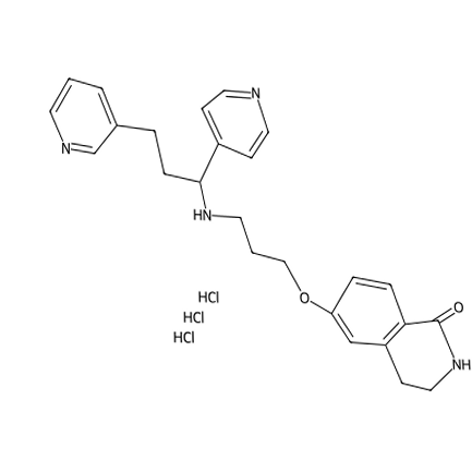 Cl.Cl.Cl.O=C1NCCc2cc(OCCCNC(CCc3cccnc3)c3ccncc3)ccc21